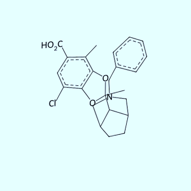 Cc1c(C(=O)O)cc(Cl)c2c1OC(C)(C1C3CCC1CN(Cc1ccccc1)C3)O2